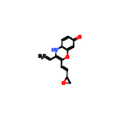 C=CC1=C(/C=C/C2CO2)OC2=CC(=O)C=CC2N1